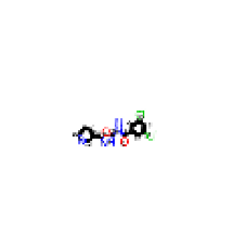 O=C(Nc1nnc(-c2cccnc2)o1)c1cc(Cl)cc(Cl)c1